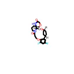 O=C1COC[C@@]2(CCCN3C(=O)CCOc4c(F)cc(F)cc4[C@H]4CC[C@H](CC4)OC[C@H]32)N1